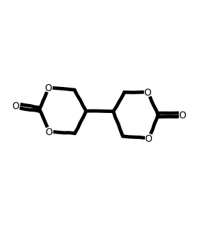 O=C1OCC(C2COC(=O)OC2)CO1